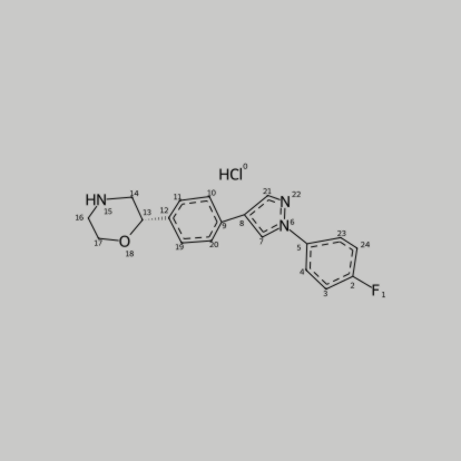 Cl.Fc1ccc(-n2cc(-c3ccc([C@H]4CNCCO4)cc3)cn2)cc1